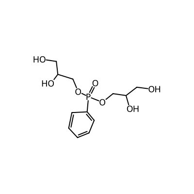 O=P(OCC(O)CO)(OCC(O)CO)c1ccccc1